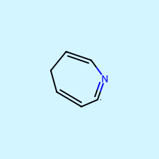 [C]1=NC=CCC=C1